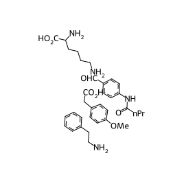 CCCC(=O)Nc1ccc(C=O)cc1.COc1ccc(CC(=O)O)cc1.NCCCCC(N)C(=O)O.NCCc1ccccc1